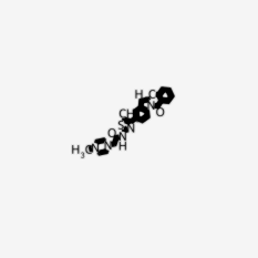 Cc1ccccc1C(=O)N1CCc2cc(-c3nc(NC(=O)CN4CCN(C)CC4)sc3C)ccc21